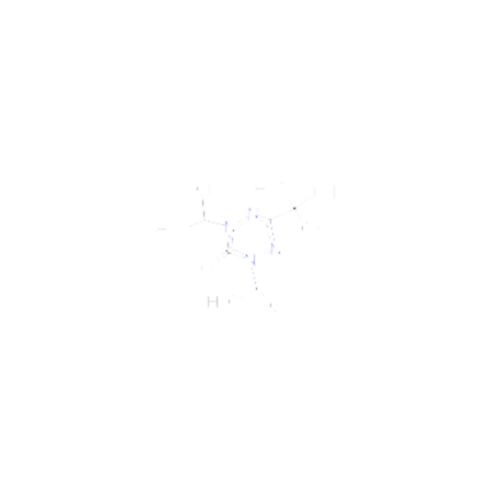 CC(C)n1nc(C(C)(C)C)n[n+](C(C)C)c1=O